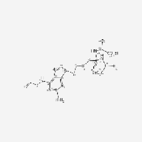 C=CCNc1nc(N)nc2c1ncn2CCOCP(=O)(NC(CC)C(=O)OCC)NC(CC)C(=O)OCC